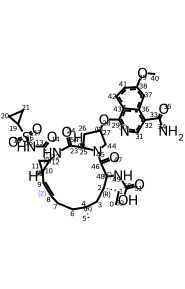 CC[C@@H]1C[C@H](C)CC/C=C\[C@@H]2C[C@@]2(C(=O)NS(=O)(=O)C2CC2)NC(=O)[C@@H]2C[C@@H](Oc3ncc(C(N)=O)c4cc(OC)ccc34)CN2C(=O)[C@H]1NC(=O)O